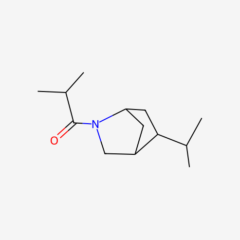 CC(C)C(=O)N1CC2CC1CC2C(C)C